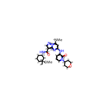 CNc1cc(Nc2cccn(C3CCOCC3)c2=O)nc2c(C(=O)N[C@H]3CCC[C@](C)(OC)C3)cnn12